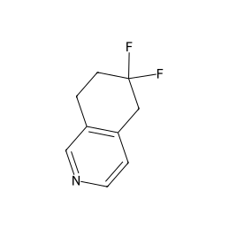 FC1(F)CCc2cnccc2C1